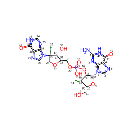 Nc1nc2c(ncn2[C@@H]2O[C@H](CO)[C@@H](F)[C@H]2OP(=O)(O)OC[C@H]2OCC(F)(n3cnc4c(=O)[nH]cnc43)[C@@H]2O)c(=O)[nH]1